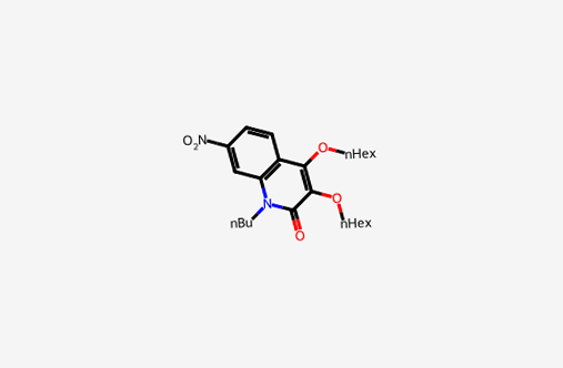 CCCCCCOc1c(OCCCCCC)c2ccc([N+](=O)[O-])cc2n(CCCC)c1=O